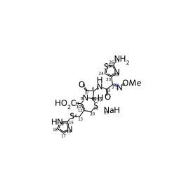 CO/N=C(/C(=O)NC1C(=O)N2C(C(=O)O)=C(CSc3ncc[nH]3)CS[C@H]12)c1csc(N)n1.[NaH]